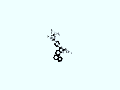 CSc1nc2c(c(N3CCN(C(=O)OC(C)(C)C)CC3)n1)CCC1(CCCc3ccccc31)C2